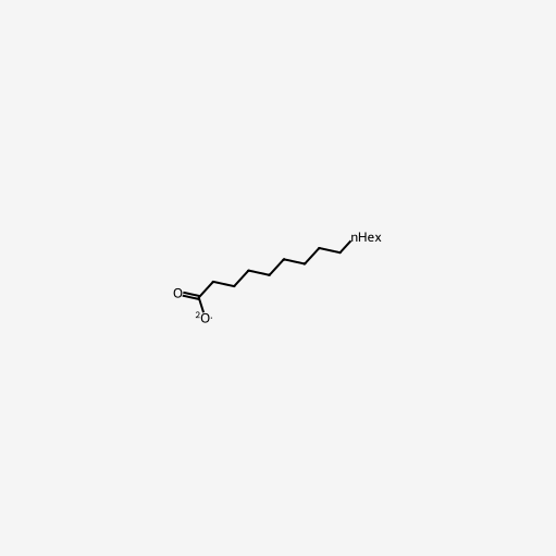 CCCCCCCCCCCCCCC(=O)[2O]